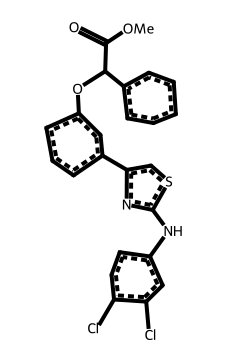 COC(=O)C(Oc1cccc(-c2csc(Nc3ccc(Cl)c(Cl)c3)n2)c1)c1ccccc1